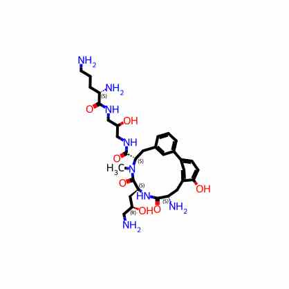 CN1C(=O)[C@H](C[C@@H](O)CN)NC(=O)[C@@H](N)Cc2cc(ccc2O)-c2cccc(c2)C[C@H]1C(=O)NCC(O)CNC(=O)[C@@H](N)CCCN